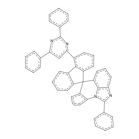 c1ccc(-c2cc(-c3cccc4c3-c3ccccc3C43c4ccccc4-n4c(-c5ccccc5)nc5cccc3c54)nc(-c3ccccc3)n2)cc1